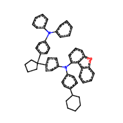 c1ccc(N(c2ccccc2)c2ccc(C3(c4ccc(N(c5ccc(C6CCCCC6)cc5)c5cccc6oc7ccccc7c56)cc4)CCCC3)cc2)cc1